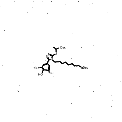 CCCCCCCCCCCCCCCCCCn1c(SC(C)CCCCCCCCCC)nnc1-c1cc(C(C)(C)C)c(O)c(C(C)(C)C)c1